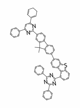 CC1(C)c2cc(-c3ccc4c(c3)sc3cccc(-c5nc(-c6ccccc6)nc(-c6ccccc6)n5)c34)ccc2-c2ccc(-c3nc(C4=CCCC=C4)cc(-c4ccccc4)n3)cc21